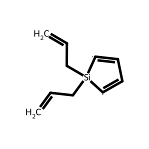 C=CC[Si]1(CC=C)[C]=CC=[C]1